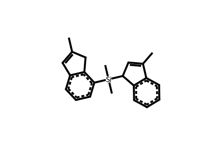 CC1=Cc2cccc([Si](C)(C)C3C=C(C)c4ccccc43)c2C1